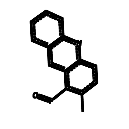 Cc1ccc2nc3ccccc3cc2c1P=O